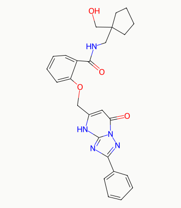 O=C(NCC1(CO)CCCC1)c1ccccc1OCc1cc(=O)n2nc(-c3ccccc3)nc2[nH]1